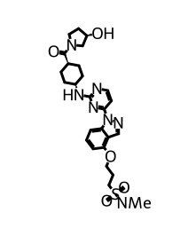 CNS(=O)(=O)CCCOc1cccc2c1cnn2-c1ccnc(N[C@H]2CC[C@H](C(=O)N3CC[C@@H](O)C3)CC2)n1